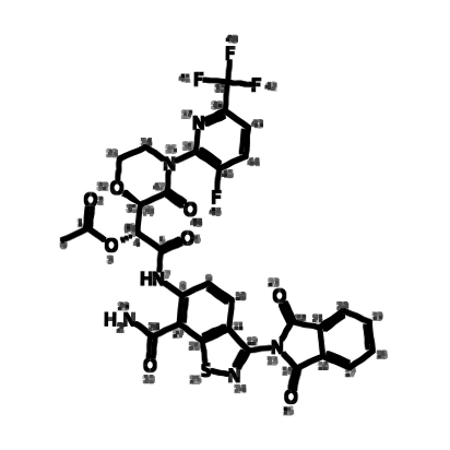 CC(=O)O[C@@H](C(=O)Nc1ccc2c(N3C(=O)c4ccccc4C3=O)nsc2c1C(N)=O)[C@H]1OCCN(c2nc(C(F)(F)F)ccc2F)C1=O